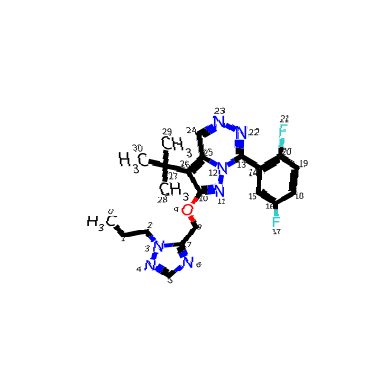 CCCn1ncnc1COc1nn2c(-c3cc(F)ccc3F)nncc2c1C(C)(C)C